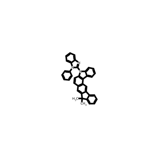 CC1(C)c2ccccc2-c2cc3c(ccc4c3c3ccccc3n4-c3nc4ccccc4n3-c3ccccc3)cc21